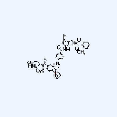 CO[C@@H](C(=O)N1Cc2[nH]nc(NC(=O)c3ccc(N4CCC(CN5C6CC5CN(c5ccc7c(c5)C(=O)N(C5CCC(=O)NC5=O)C7=O)C6)CC4)cc3)c2C1)c1ccccc1